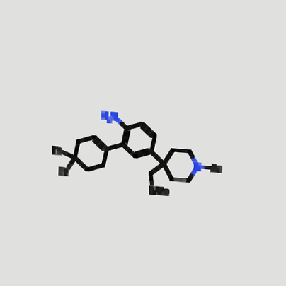 CCC1(CC)CC=C(c2cc(C3(CNC)CCN(C(C)=O)CC3)ccc2N)CC1